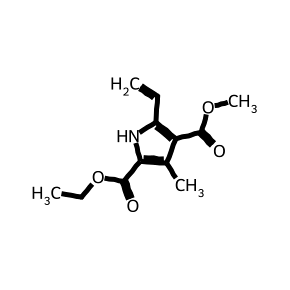 C=Cc1[nH]c(C(=O)OCC)c(C)c1C(=O)OC